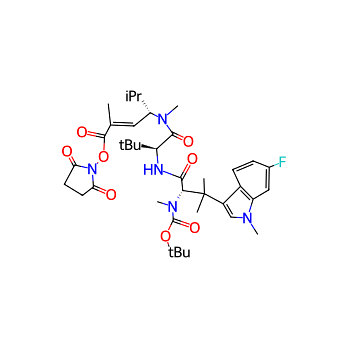 C/C(=C\[C@H](C(C)C)N(C)C(=O)[C@@H](NC(=O)[C@@H](N(C)C(=O)OC(C)(C)C)C(C)(C)c1cn(C)c2cc(F)ccc12)C(C)(C)C)C(=O)ON1C(=O)CCC1=O